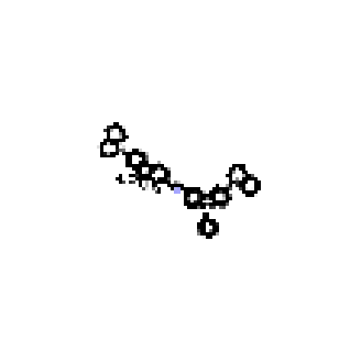 CC1(C)c2cc(/C=C/c3ccc4c(c3)c3cc(N5CCCc6ccccc65)ccc3p4-c3ccccc3)ccc2-c2ccc(N3CCCC4=C3C=CCC4)cc21